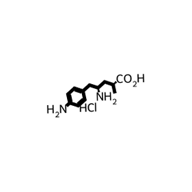 C[C@@H](C[C@@H](N)Cc1ccc(N)cc1)C(=O)O.Cl